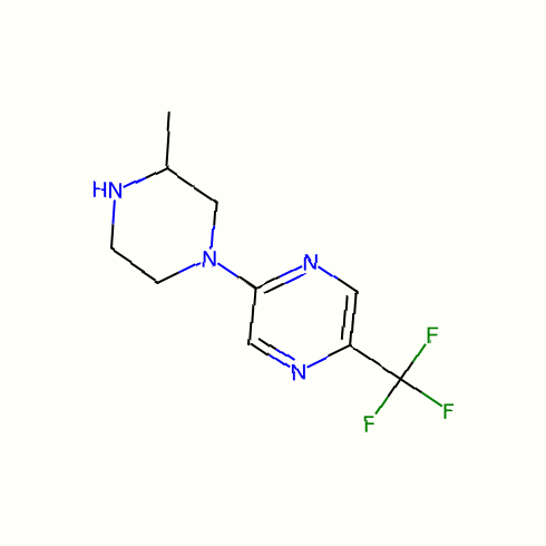 CC1CN(c2cnc(C(F)(F)F)cn2)CCN1